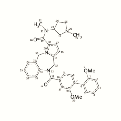 COc1ccccc1-c1ccc(C(=O)N2Cc3ccc(C(=O)N(C)C4CCN(C)C4)n3Cc3ccccc32)cc1OC